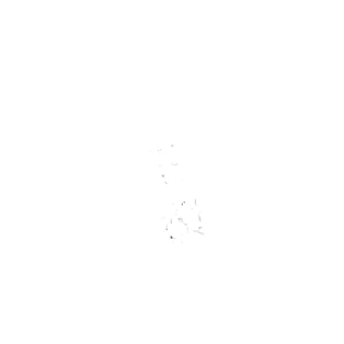 c1coc([C]23[CH]4[CH]5[CH]6[CH]2[Fe]56432789[CH]3[CH]2[CH]7[C]8(c2ccco2)[CH]39)c1